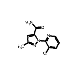 NC(=O)c1cc(C(F)(F)F)nn1-c1ncccc1Cl